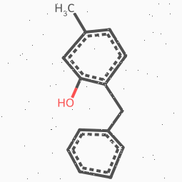 Cc1ccc(Cc2ccccc2)c(O)c1